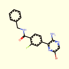 Nc1ncc(Br)nc1-c1ccc(C(=O)NCc2ccccc2)c(F)c1